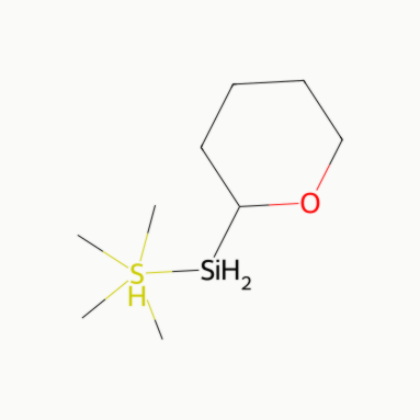 C[SH](C)(C)(C)[SiH2]C1CCCCO1